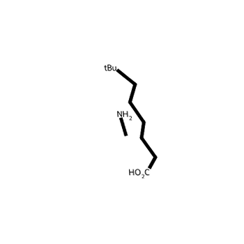 CC(C)(C)CCCCCC(=O)O.CN